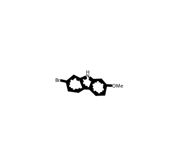 COc1ccc2c(c1)[nH]c1cc(Br)ccc12